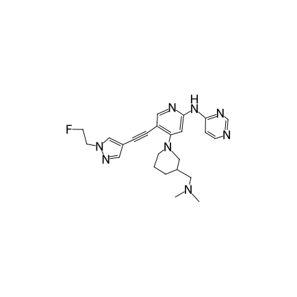 CN(C)CC1CCCN(c2cc(Nc3ccncn3)ncc2C#Cc2cnn(CCF)c2)C1